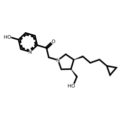 O=C(CN1C[C@@H](CCCC2CC2)[C@@H](CO)C1)c1ccc(O)cn1